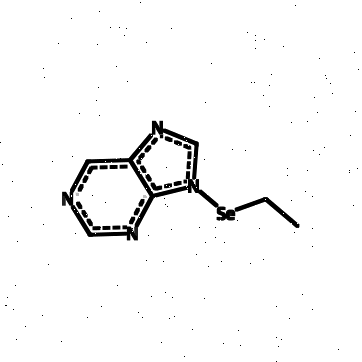 CC[Se]n1cnc2cncnc21